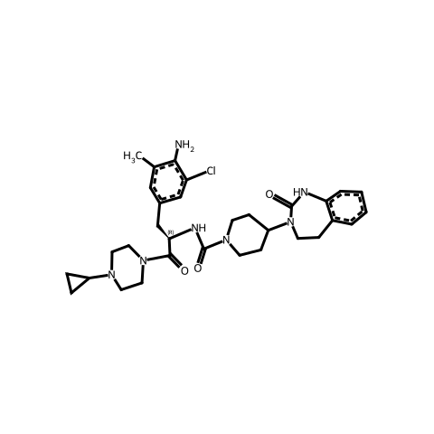 Cc1cc(C[C@@H](NC(=O)N2CCC(N3CCc4ccccc4NC3=O)CC2)C(=O)N2CCN(C3CC3)CC2)cc(Cl)c1N